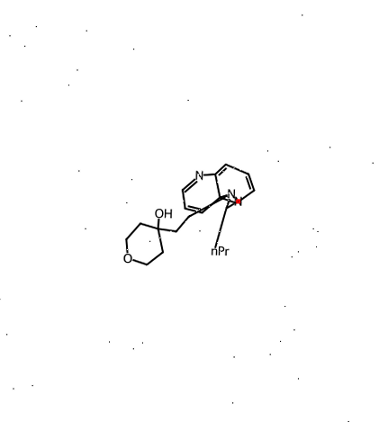 CCCC1N=C2C=CC=C3N=CC=CC32N1CCC1(O)CCOCC1